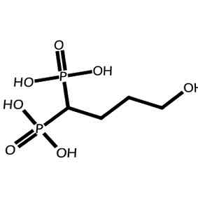 O=P(O)(O)C(CCCO)P(=O)(O)O